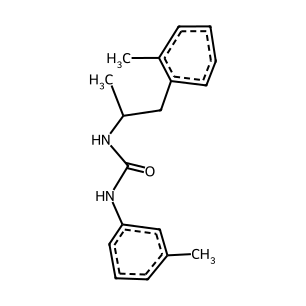 Cc1cccc(NC(=O)NC(C)Cc2ccccc2C)c1